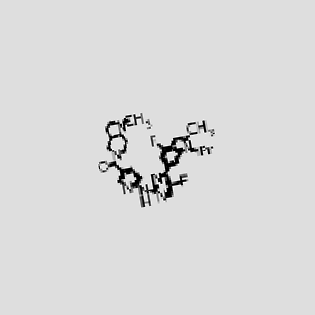 Cc1cc2c(F)cc(-c3nc(Nc4ccc(C(=O)N5CCC6C(CCN6C)C5)cn4)ncc3F)cc2n1C(C)C